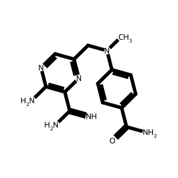 CN(Cc1cnc(N)c(C(=N)N)n1)c1ccc(C(N)=O)cc1